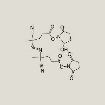 CC(C#N)(CCC(=O)ON1C(=O)CCC1=O)/N=N/C(C)(C#N)CCC(=O)ON1C(=O)CCC1O